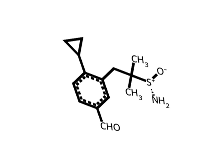 CC(C)(Cc1cc(C=O)ccc1C1CC1)[S@@+](N)[O-]